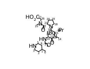 CC1CCNC[C@@H]1C(=O)N[C@H](C(=O)N(C)[C@H](CN1CCC[C@H]1C(=O)N(C)CC(=O)O)C(C)C)C(C)(C)C